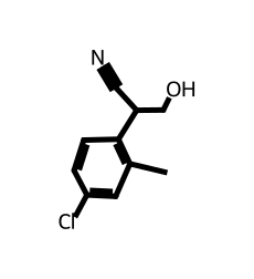 Cc1cc(Cl)ccc1C(C#N)CO